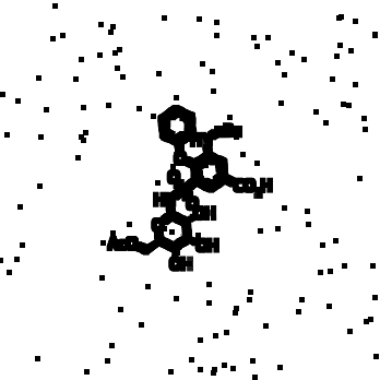 CCCCNc1cc(C(=O)O)cc(S(=O)(=O)NC2O[C@H](COC(C)=O)[C@@H](O)[C@H](O)[C@H]2O)c1Oc1ccccc1